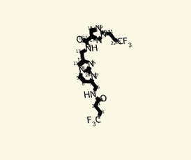 O=C(CCC(F)(F)F)NCc1ccn2cc(CNC(=O)c3cnn(CCC(F)(F)F)n3)nc2n1